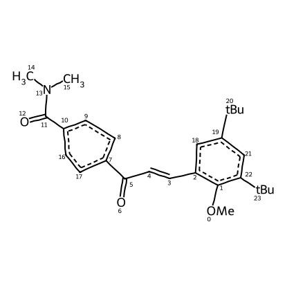 COc1c(C=CC(=O)c2ccc(C(=O)N(C)C)cc2)cc(C(C)(C)C)cc1C(C)(C)C